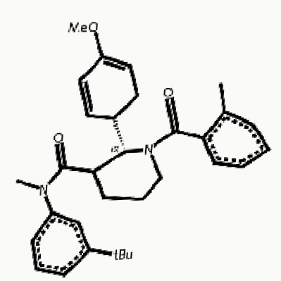 COC1=CCC([C@H]2C(C(=O)N(C)c3cccc(C(C)(C)C)c3)CCCN2C(=O)c2ccccc2C)C=C1